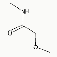 CNC(=O)COC